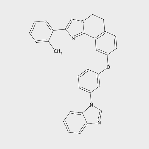 Cc1ccccc1-c1cn2c(n1)-c1cc(Oc3cccc(-n4cnc5ccccc54)c3)ccc1CC2